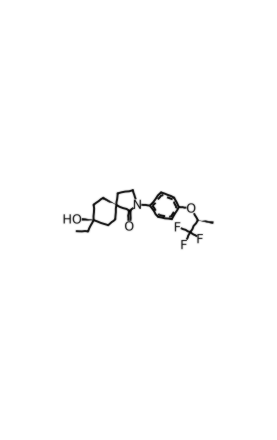 CC[C@]1(O)CC[C@]2(CCN(c3ccc(O[C@@H](C)C(F)(F)F)cc3)C2=O)CC1